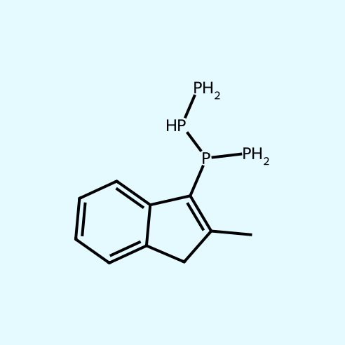 CC1=C(P(P)PP)c2ccccc2C1